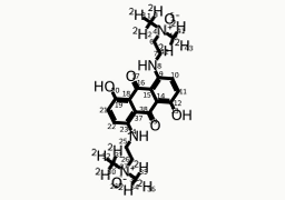 [2H]C([2H])([2H])[N+]([O-])(CCNc1ccc(O)c2c1C(=O)c1c(O)ccc(NCC[N+]([O-])(C([2H])([2H])[2H])C([2H])([2H])[2H])c1C2=O)C([2H])([2H])[2H]